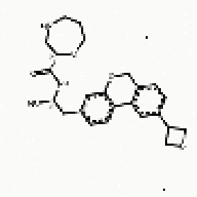 N#C[C@H](Cc1ccc2c(c1)OCc1ccc(C3COC3)cc1-2)NC(=O)[C@@H]1CNCCCO1